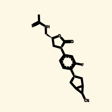 CC(=S)NC[C@H]1CN(c2ccc(N3CC4C(C#N)C4C3)c(F)c2)C(=O)O1